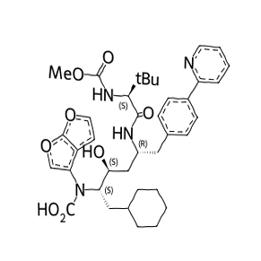 COC(=O)N[C@H](C(=O)N[C@H](Cc1ccc(-c2ccccn2)cc1)C[C@H](O)[C@H](CC1CCCCC1)N(C(=O)O)c1coc2occc12)C(C)(C)C